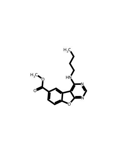 CCCCNc1ncnc2oc3ccc(C(=O)OC)cc3c12